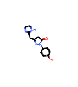 O=C1CC(Cc2ncc[nH]2)=NN1c1ccc(O)cc1